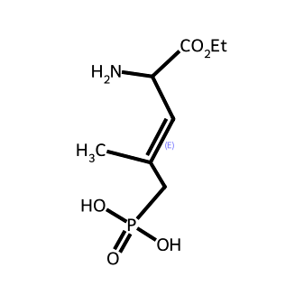 CCOC(=O)C(N)/C=C(\C)CP(=O)(O)O